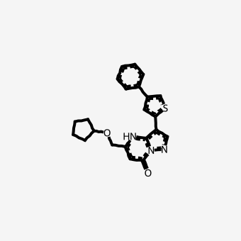 O=c1cc(COC2CCCC2)[nH]c2c(-c3cc(-c4ccccc4)cs3)cnn12